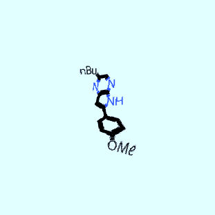 CCCCc1cnc2[nH]c(-c3ccc(OC)cc3)cc2n1